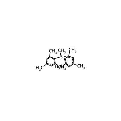 Cc1cc(C)c([SiH](C)c2c(C)cc(C)cc2C)c(C)c1